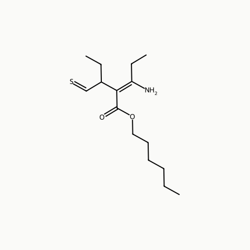 CCCCCCOC(=O)C(=C(N)CC)C(C=S)CC